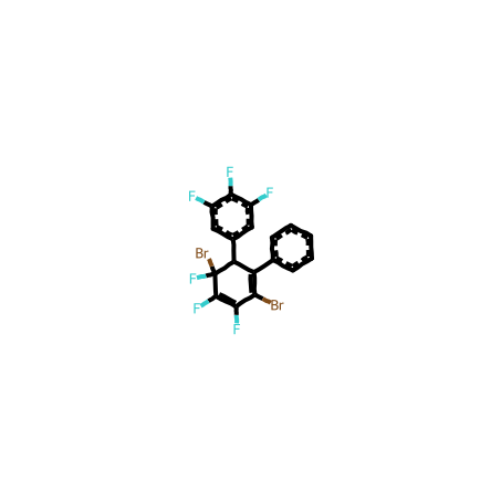 FC1=C(F)C(F)(Br)C(c2cc(F)c(F)c(F)c2)C(c2ccccc2)=C1Br